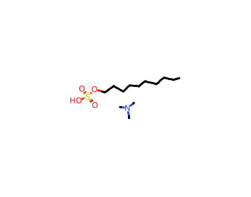 CCCCCCCCCCOS(=O)(=O)O.CN(C)C